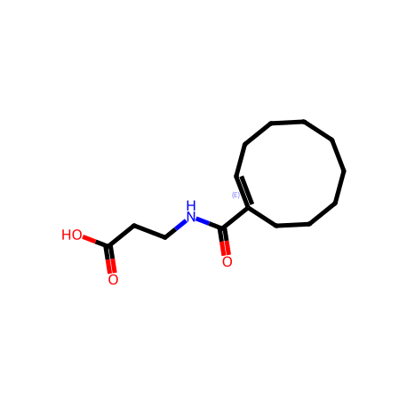 O=C(O)CCNC(=O)/C1=C/CCCCCCCC1